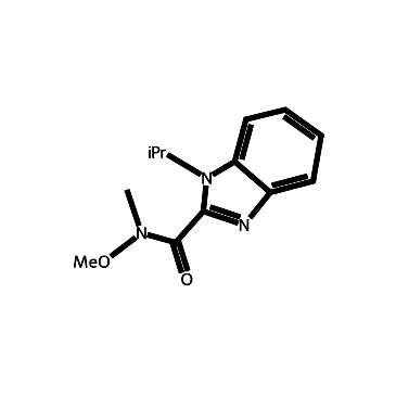 CON(C)C(=O)c1nc2ccccc2n1C(C)C